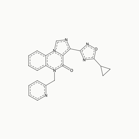 O=c1c2c(-c3noc(C4CC4)n3)ncn2c2ccccc2n1Cc1ccccn1